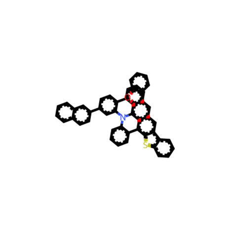 c1ccc(-c2ccc(-c3ccc4ccccc4c3)cc2N(c2ccccc2-c2cccc3c2sc2ccccc23)c2cccc3c2oc2ccccc23)cc1